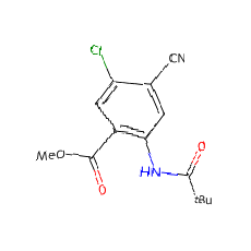 COC(=O)c1cc(Cl)c(C#N)cc1NC(=O)C(C)(C)C